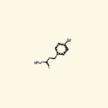 CC(C)(C)C(=O)CCc1ccc(Br)cc1